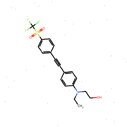 CCN(CCO)c1ccc(C#Cc2ccc(S(=O)(=O)C(F)(F)F)cc2)cc1